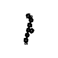 N#Cc1ccc(-c2ccc(-c3ccc(-c4ccc(-c5ccc6oc7nccnc7c6c5)cc4)c4ccccc34)cc2)cc1